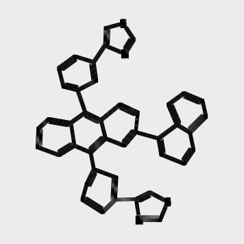 c1cc(-c2cscn2)cc(-c2c3ccccc3c(-c3cccc(-c4cscn4)c3)c3cc(-c4cccc5ccccc45)ccc23)c1